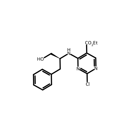 CCOC(=O)c1cnc(Cl)nc1N[C@H](CO)Cc1ccccc1